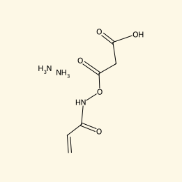 C=CC(=O)NOC(=O)CC(=O)O.N.N